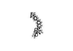 CC(C)(C)OC(=O)N1CCCC1C(=O)N1CCc2ccc(-c3ccc(C(F)(F)F)cc3)cc2C1